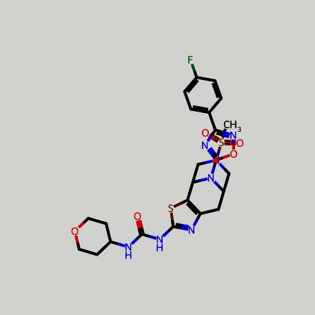 CS(=O)(=O)N1CC2Cc3nc(NC(=O)NC4CCOCC4)sc3C(C1)N2c1nc(-c2ccc(F)cc2)no1